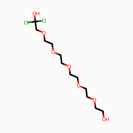 OCCOCCOCCOCCOCCOCC(O)(Cl)Cl